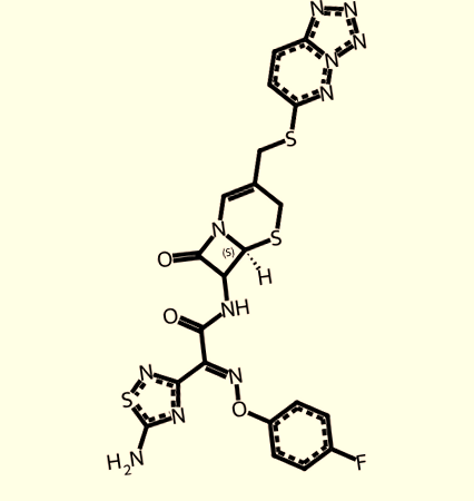 Nc1nc(C(=NOc2ccc(F)cc2)C(=O)NC2C(=O)N3C=C(CSc4ccc5nnnn5n4)CS[C@@H]23)ns1